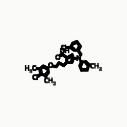 Cc1cccc(N(Cc2cccc(Cl)c2)C2=CC(CCCOc3cc(C)c(Cl)c(C)c3)C(C(=O)O)=C2)c1